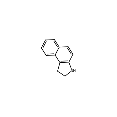 [C]1Cc2c(ccc3ccccc23)N1